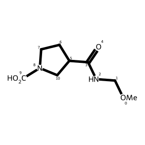 COCNC(=O)C1CCN(C(=O)O)C1